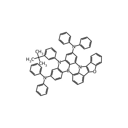 CC(C)(C)c1cccc(N2c3cc(N(c4ccccc4)c4ccccc4)ccc3B3c4c2cc(N(c2ccccc2)c2ccccc2)cc4-n2c4c3cccc4c3oc4ccccc4c32)c1